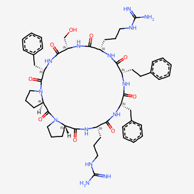 N=C(N)NCCC[C@@H]1NC(=O)[C@H](CCc2ccccc2)NC(=O)[C@H](Cc2ccccc2)NC(=O)[C@H](CCCNC(=N)N)NC(=O)[C@@H]2CCCN2C(=O)[C@H]2CCCN2C(=O)[C@H](Cc2ccccc2)NC(=O)[C@H](CO)NC1=O